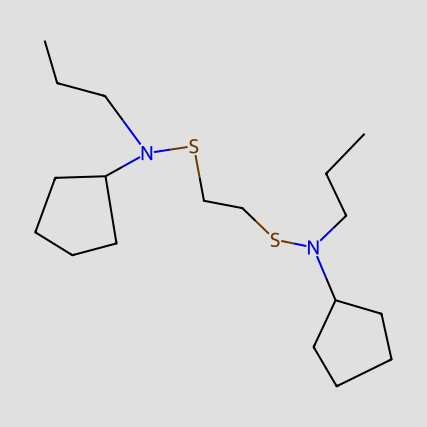 CCCN(SCCSN(CCC)C1CCCC1)C1CCCC1